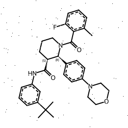 Cc1cccc(F)c1C(=O)N1CCC[C@H](C(=O)Nc2cccc(C(C)(C)C)c2)[C@@H]1c1ccc(N2CCOCC2)cc1